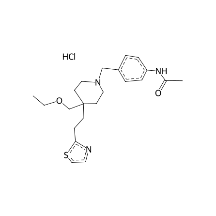 CCOCC1(CCc2nccs2)CCN(Cc2ccc(NC(C)=O)cc2)CC1.Cl